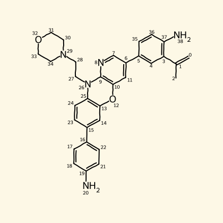 C=C(C)c1cc(-c2cnc3c(c2)Oc2cc(-c4ccc(N)cc4)ccc2N3CCN2CCOCC2)ccc1N